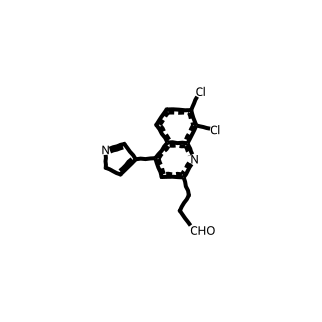 O=CCCc1cc(C2=CCN=C2)c2ccc(Cl)c(Cl)c2n1